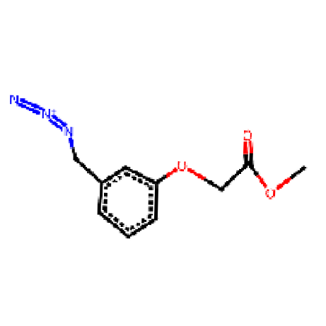 COC(=O)COc1cccc(CN=[N+]=[N-])c1